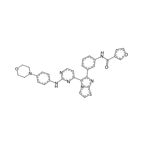 O=C(Nc1cccc(-c2nc3sccn3c2-c2ccnc(Nc3ccc(N4CCOCC4)cc3)n2)c1)c1ccoc1